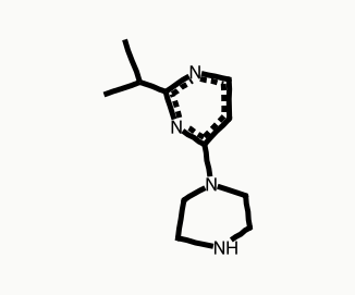 CC(C)c1nccc(N2CCNCC2)n1